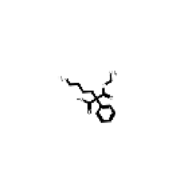 CCCCCC(C(=O)O)(C(=O)OCC)c1ccccc1